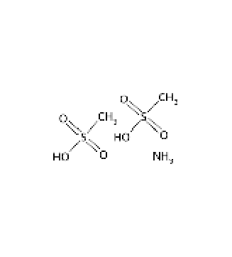 CS(=O)(=O)O.CS(=O)(=O)O.N